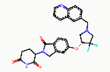 O=C1CCC(N2Cc3cc(O[C@@H]4CN(Cc5ccc6ncccc6c5)CC4(F)F)ccc3C2=O)C(=O)N1